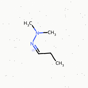 CC/C=N\N(C)C